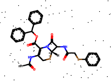 CCCC(=O)NC1=C(C(=O)OC(c2ccccc2)c2ccccc2)N2C(=O)C(NC(=O)CSc3ccccc3)[C@@H]2SC1